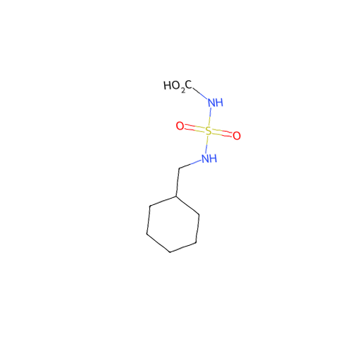 O=C(O)NS(=O)(=O)NCC1CCCCC1